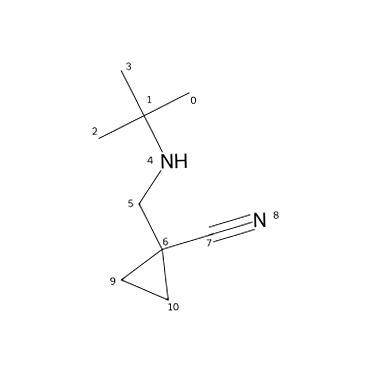 CC(C)(C)NCC1(C#N)CC1